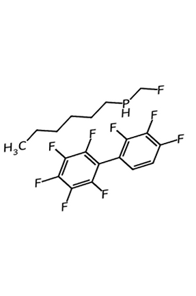 CCCCCCPCF.Fc1ccc(-c2c(F)c(F)c(F)c(F)c2F)c(F)c1F